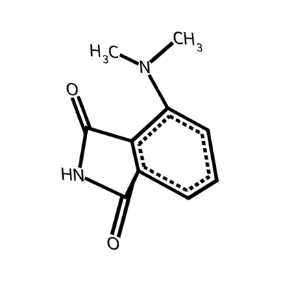 CN(C)c1cccc2c1C(=O)NC2=O